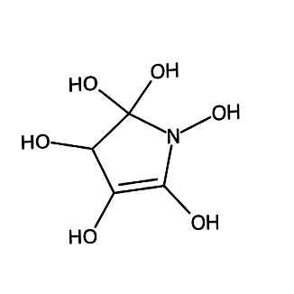 OC1=C(O)N(O)C(O)(O)C1O